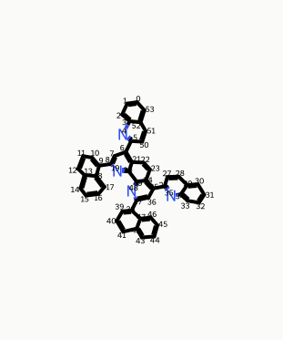 c1ccc2nc(-c3cc(-c4cccc5ccccc45)nc4c3ccc3c(-c5ccc6ccccc6n5)cc(-c5cccc6ccccc56)nc34)ccc2c1